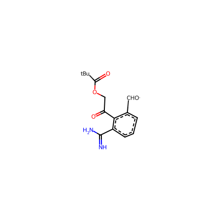 CC(C)(C)C(=O)OCC(=O)c1c([C]=O)cccc1C(=N)N